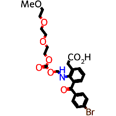 COCCOCCOCCOC(=O)OCNc1c(CC(=O)O)cccc1C(=O)c1ccc(Br)cc1